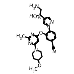 COC1CCN(c2cc(Oc3cc(C#N)ccc3-n3cc([C@@H](O)CN)cn3)nc(C)n2)CC1